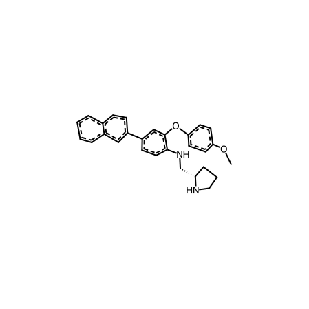 COc1ccc(Oc2cc(-c3ccc4ccccc4c3)ccc2NC[C@@H]2CCCN2)cc1